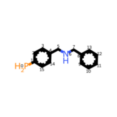 Pc1ccc(CNCc2ccccc2)cc1